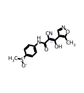 Cc1oncc1/C(O)=C(\C#N)C(=O)Nc1ccc([S+](C)[O-])cc1